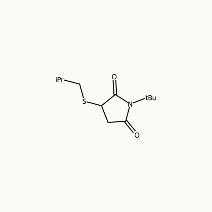 CC(C)CSC1CC(=O)N(C(C)(C)C)C1=O